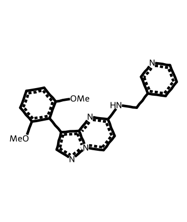 COc1cccc(OC)c1-c1cnn2ccc(NCc3cccnc3)nc12